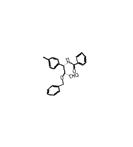 Cc1ccc([C@H](NC(=O)c2ccccc2)[C@H](C=O)OCc2ccccc2)cc1